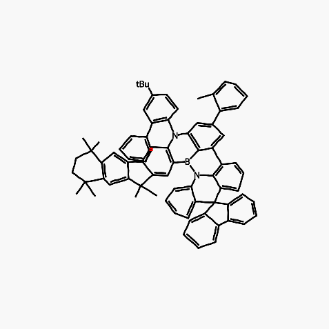 Cc1ccccc1-c1cc2c3c(c1)N(c1ccc(C(C)(C)C)cc1-c1ccccc1)c1cc4c(cc1B3N1c3ccccc3C3(c5ccccc5-c5ccccc53)c3cccc-2c31)C(C)(C)c1cc2c(cc1-4)C(C)(C)CCC2(C)C